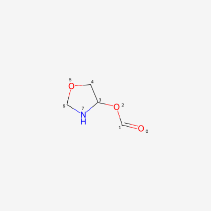 O=COC1COCN1